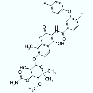 CO[C@@H]1[C@@H](OC(N)=O)[C@@H](O)[C@H](Oc2ccc3c(O)c(NC(=O)c4ccc(F)c(Oc5ccc(F)cc5)c4)c(=O)oc3c2C)OC1(C)C